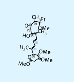 CC[C@H](OC)[C@@H](C)[C@@H]1O[C@H]1[C@H](O)[C@@H](C)/C=C/C=C(\C)[C@@H]1O[C@@H](OC)C[C@H](OC)[C@@H]1OC